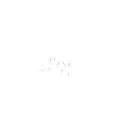 O.S.[Ce].[La]